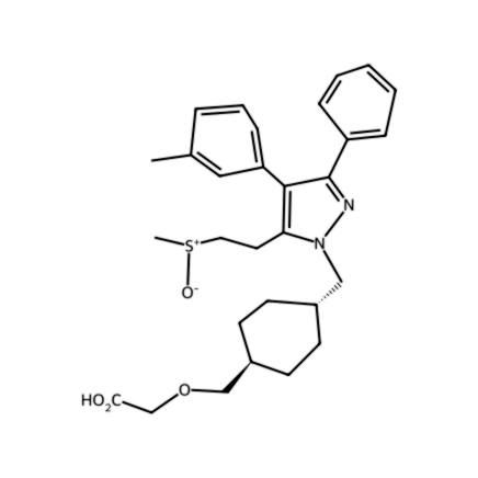 Cc1cccc(-c2c(-c3ccccc3)nn(C[C@H]3CC[C@H](COCC(=O)O)CC3)c2CC[S+](C)[O-])c1